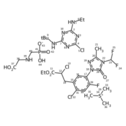 CCNc1nc(Cl)nc(NC(C)(C)C)n1.CCOC(=O)C(Cl)Cc1cc(-n2nc(C)n(C(F)F)c2=O)c(F)cc1Cl.C[S+](C)C.O=C(O)CNCP(=O)([O-])O